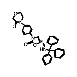 O=C1COCCN1c1ccc(N2C[C@H](CNC(c3ccccc3)(c3ccccc3)c3ccccc3)OC2=O)cc1